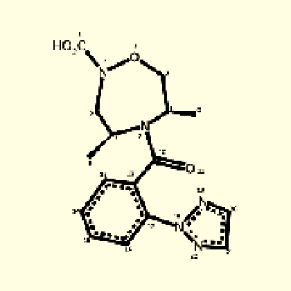 C[C@@H]1CON(C(=O)O)C[C@H](C)N1C(=O)c1ccccc1-n1nccn1